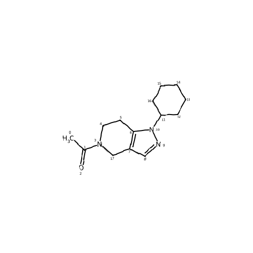 CC(=O)N1CCc2c(cnn2C2CCCCC2)C1